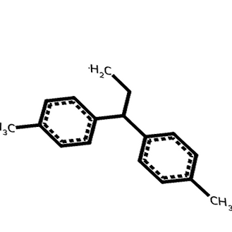 [CH2]CC(c1ccc(C)cc1)c1ccc(C)cc1